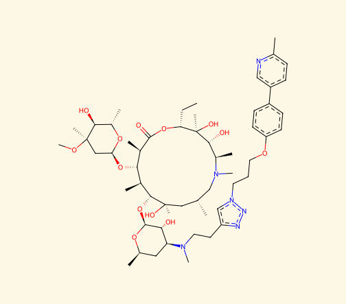 CC[C@H]1OC(=O)[C@H](C)[C@@H](O[C@H]2C[C@@](C)(OC)[C@@H](O)[C@H](C)O2)[C@H](C)[C@@H](O[C@@H]2O[C@H](C)C[C@H](N(C)CCc3cn(CCCOc4ccc(-c5ccc(C)nc5)cc4)nn3)[C@H]2O)[C@](C)(O)C[C@@H](C)CN(C)[C@H](C)[C@@H](O)[C@]1(C)O